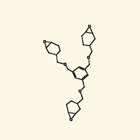 c1c(COCC2CCC3OC3C2)cc(COCC2CCC3OC3C2)cc1COCC1CCC2OC2C1